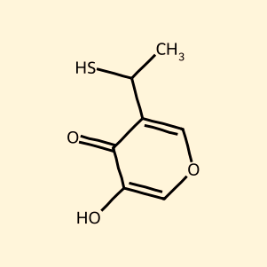 CC(S)c1cocc(O)c1=O